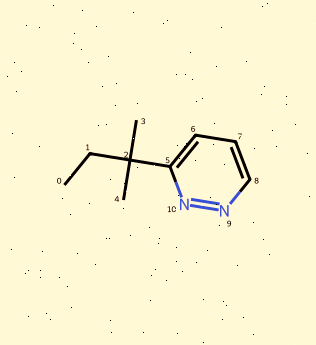 CCC(C)(C)c1cccnn1